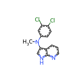 CN(c1ccc(Cl)c(Cl)c1)c1c[nH]c2ncccc12